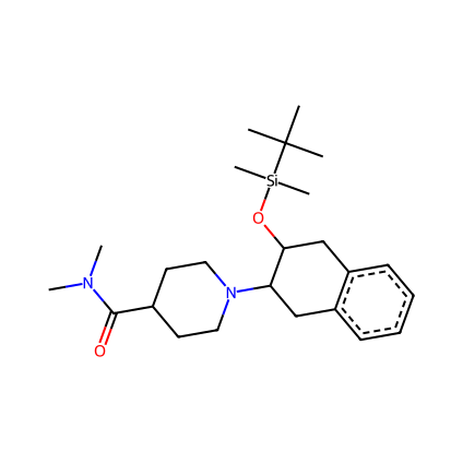 CN(C)C(=O)C1CCN(C2Cc3ccccc3CC2O[Si](C)(C)C(C)(C)C)CC1